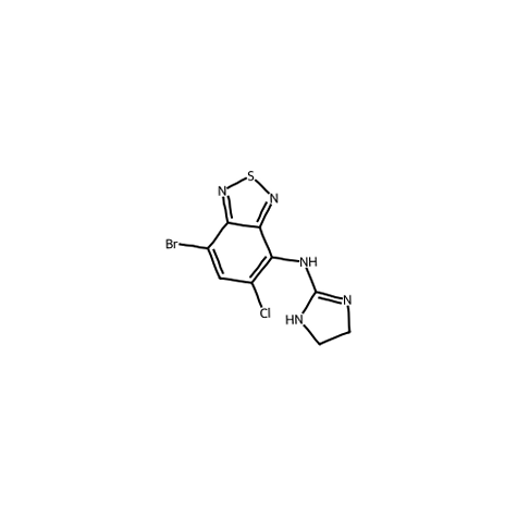 Clc1cc(Br)c2nsnc2c1NC1=NCCN1